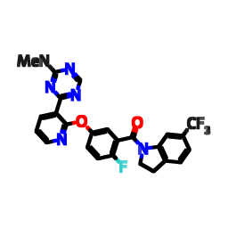 CNc1ncnc(-c2cccnc2Oc2ccc(F)c(C(=O)N3CCc4ccc(C(F)(F)F)cc43)c2)n1